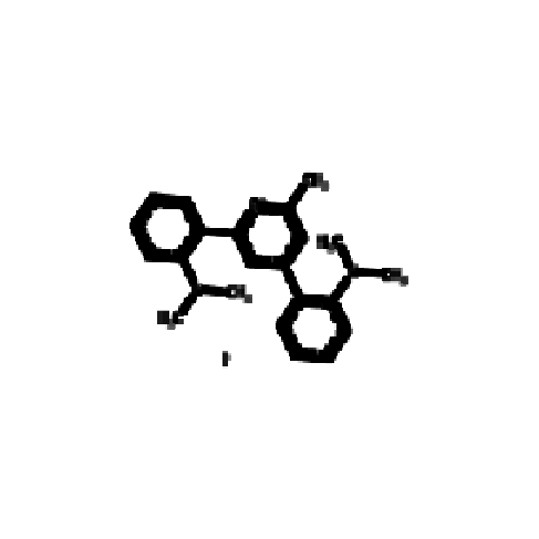 Cc1cc(-c2ccccc2N(C)C)cc(-c2ccccc2N(C)C)[o+]1.[I-]